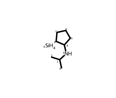 CC(C)NC1CCCC1.[SiH4]